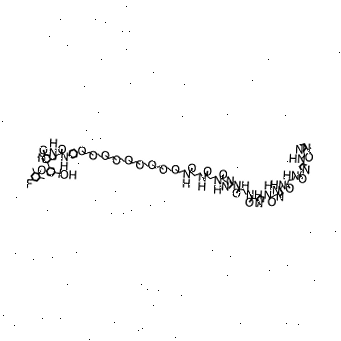 Cc1cc(F)cc(C)c1Oc1ccc(C(C)(C)O)cc1-c1cn(C)c(=O)c2[nH]c(C(=O)Nc3ccc(OCCOCCOCCOCCOCCOCCOCCOCCOCCNC(=O)CCNC(=O)CCNC(=O)c4nc(NC(=O)CCNC(=O)c5cc(NC(=O)c6nc(NC(=O)CCNC(=O)c7cc(NC(=O)c8nccn8C)cn7C)cn6C)cn5C)cn4C)cc3)cc12